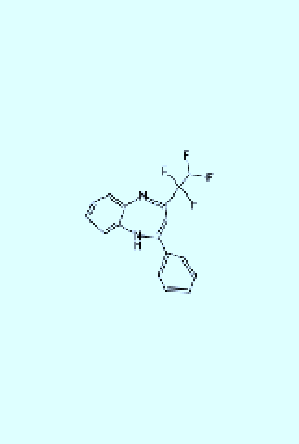 FC(F)C(F)(F)C1=Nc2ccccc2NC(c2ccccc2)=C1